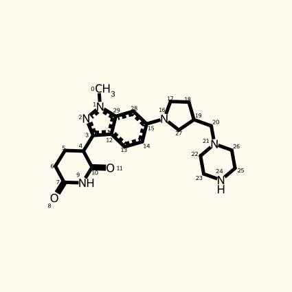 Cn1nc(C2CCC(=O)NC2=O)c2ccc(N3CCC(CN4CCNCC4)C3)cc21